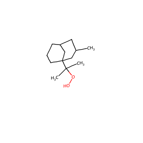 CC1CC2CCCC(C(C)(C)OO)(C1)C2